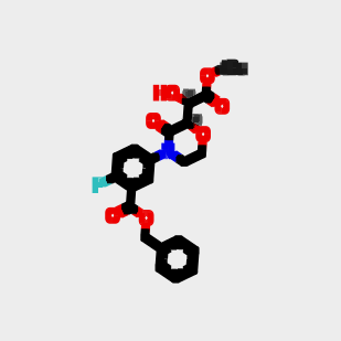 CC(C)(C)OC(=O)[C@H](O)[C@H]1OCCN(c2ccc(F)c(C(=O)OCc3ccccc3)c2)C1=O